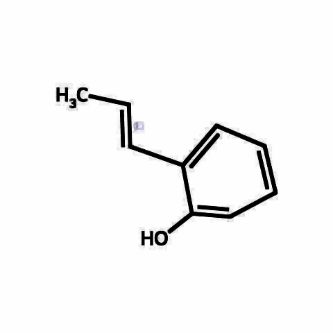 C/C=C/c1ccccc1O